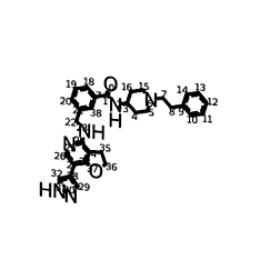 O=C(NC1CCN(CCc2ccccc2)CC1)c1cccc(CNc2ncc(-c3cn[nH]c3)c3c2CCO3)c1